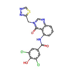 O=C(Nc1cccc2ncn(Cc3nncs3)c(=O)c12)c1cc(Cl)c(O)c(Cl)c1